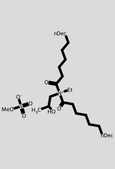 CCCCCCCCCCCCCCCC(=O)[N+](CC)(CC(C)O)C(=O)CCCCCCCCCCCCCCC.COS(=O)(=O)[O-]